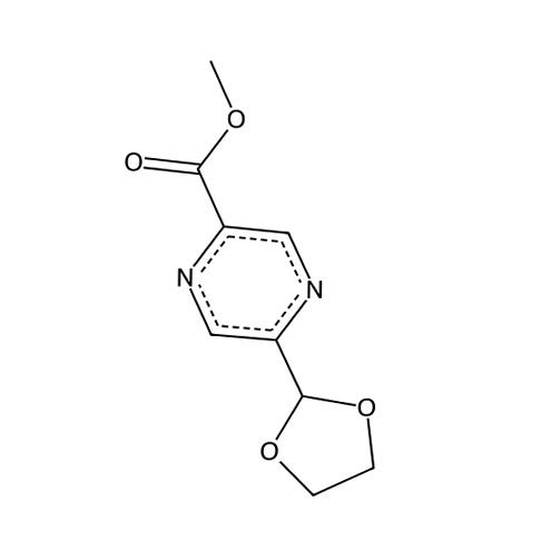 COC(=O)c1cnc(C2OCCO2)cn1